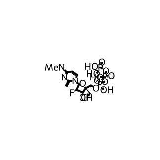 C=C1N=C(NC)C=CN1[C@@H]1O[C@](CCl)(COP(=O)(O)OP(=O)(O)OP(=O)(O)O)[C@@H](O)[C@H]1F